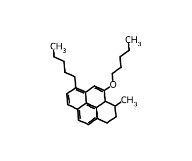 CCCCCOC1=Cc2c(CCCCC)ccc3ccc4c(c23)C1C(C)CC4